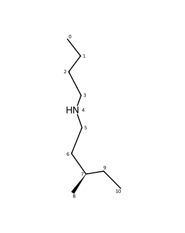 CCCCNCC[C@H](C)CC